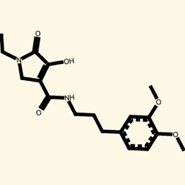 CCN1CC(C(=O)NCCCc2ccc(OC)c(OC)c2)=C(O)C1=O